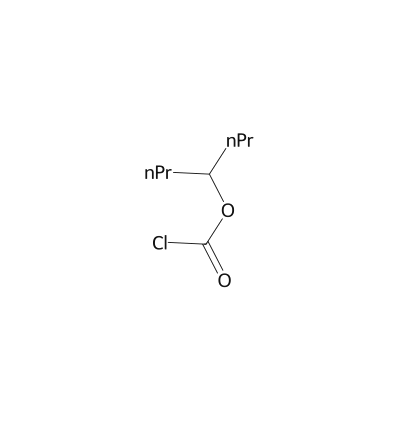 CCCC(CCC)OC(=O)Cl